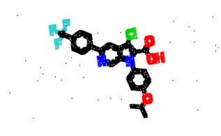 CC(C)Oc1ccc(-n2c(C(=O)O)c(Cl)c3cc(-c4ccc(C(F)(F)F)cc4)ncc32)cc1